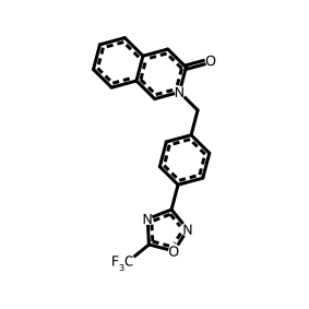 O=c1cc2ccccc2cn1Cc1ccc(-c2noc(C(F)(F)F)n2)cc1